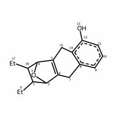 CCC1C2OC(C3=C2Cc2cccc(O)c2C3)C1CC